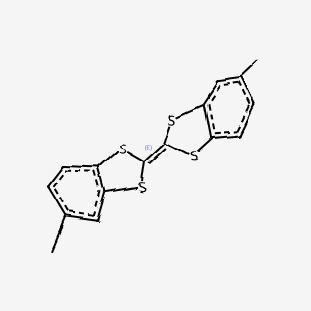 Cc1ccc2c(c1)S/C(=C1\Sc3ccc(C)cc3S1)S2